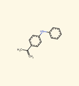 C=C(C)c1ccc(Nc2ccccc2)cc1